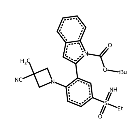 CCS(=N)(=O)c1ccc(N2CC(C)(C#N)C2)c(-c2cc3ccccc3n2C(=O)OC(C)(C)C)c1